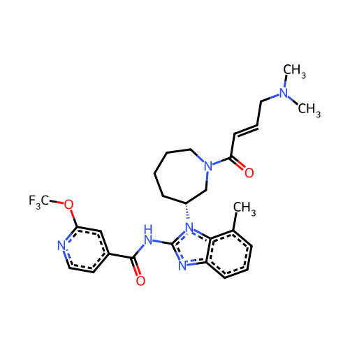 Cc1cccc2nc(NC(=O)c3ccnc(OC(F)(F)F)c3)n([C@@H]3CCCCN(C(=O)/C=C/CN(C)C)C3)c12